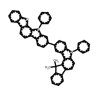 CC1(C)c2ccccc2-c2ccc3c(c21)c1cc(-c2ccc4c5ccc6c7ccccc7oc6c5n(-c5ccccc5)c4c2)ccc1n3-c1ccccc1